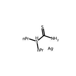 CCC[SH](CCC)C(N)=S.[Ag]